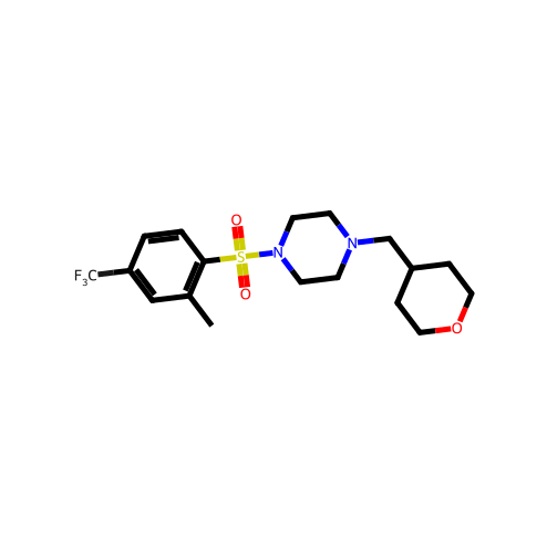 Cc1cc(C(F)(F)F)ccc1S(=O)(=O)N1CCN(CC2CCOCC2)CC1